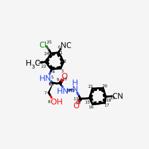 [C-]#[N+]c1ccc(N[C@H](CO)C(=O)NNC(=O)c2ccc(C#N)cc2)c(C)c1Cl